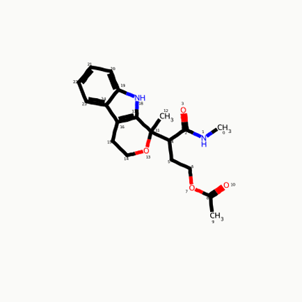 CNC(=O)C(CCOC(C)=O)C1(C)OCCc2c1[nH]c1ccccc21